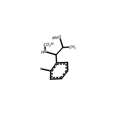 COC(C)C(NC(=O)O)c1ccccc1I